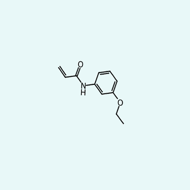 C=CC(=O)Nc1cccc(OCC)c1